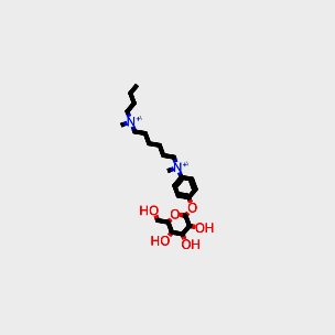 CCCC[N+](C)(C)CCCCCC[N+](C)(C)c1ccc(OC2OC(CO)C(O)C(O)C2O)cc1